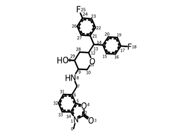 Cn1c(=O)oc2c(CNC3COC(C(c4ccc(F)cc4)c4ccc(F)cc4)CC3O)cccc21